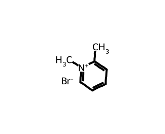 Cc1cccc[n+]1C.[Br-]